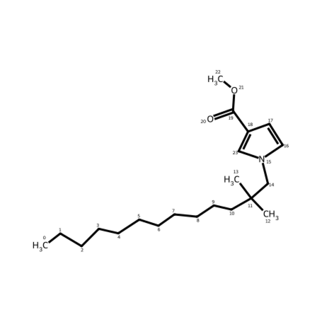 CCCCCCCCCCCC(C)(C)Cn1ccc(C(=O)OC)c1